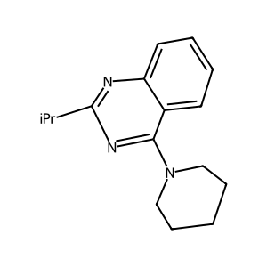 CC(C)c1nc(N2CCCCC2)c2ccccc2n1